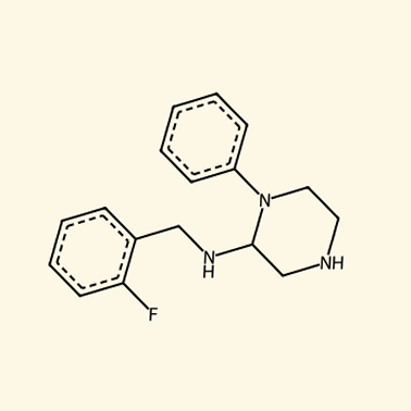 Fc1ccccc1CNC1CNCCN1c1ccccc1